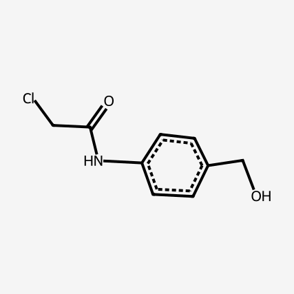 O=C(CCl)Nc1ccc(CO)cc1